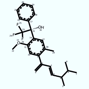 C=C(/C=C/C(C)C(C)C)c1cc(OC)c([C@](O)(c2ccccc2)C(F)(F)F)cc1C